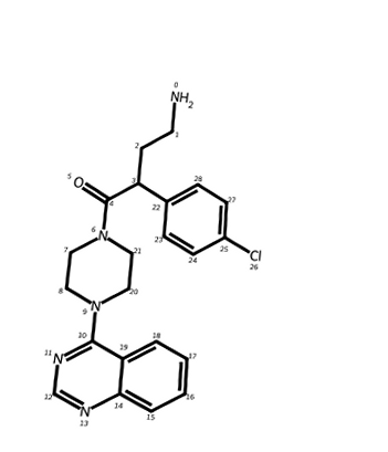 NCCC(C(=O)N1CCN(c2ncnc3ccccc23)CC1)c1ccc(Cl)cc1